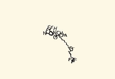 C[C@](O)(CCCCCCCCC[S+]([O-])CCCCC(F)(F)F)C(=O)Nc1ccc(C#N)c(C(F)(F)F)c1